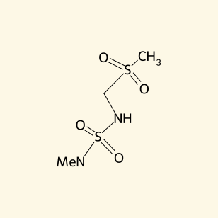 CNS(=O)(=O)NCS(C)(=O)=O